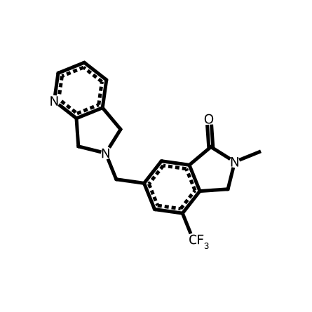 CN1Cc2c(cc(CN3Cc4cccnc4C3)cc2C(F)(F)F)C1=O